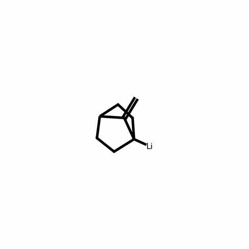 [Li][C]12CCC(CC1)C2=C